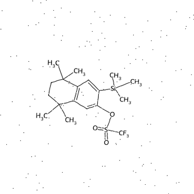 CC1(C)CCC(C)(C)c2cc([Si](C)(C)C)c(OS(=O)(=O)C(F)(F)F)cc21